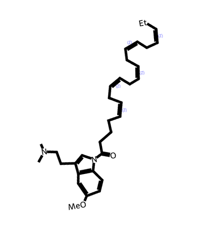 CC/C=C\C/C=C\C/C=C\C/C=C\C/C=C\CCCC(=O)n1cc(CCN(C)C)c2cc(OC)ccc21